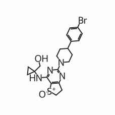 [O-][S+]1CCc2nc(N3CCC(c4ccc(Br)cc4)CC3)nc(NC3(CO)CC3)c21